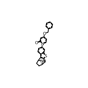 O=c1cc(OCc2ccccc2)ccn1-c1ccc2c3c(sc2c1)CC1CCC3N1